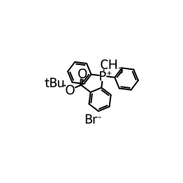 CC(C)(C)OC(=O)c1ccccc1[P+](C)(c1ccccc1)c1ccccc1.[Br-]